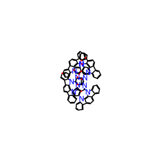 c1ccc(-n2c3ccccc3c3ccc4c5ccccc5n(-c5cc(-n6c7ccccc7c7ccc8c9ccccc9n(-c9ccccc9)c8c76)nc(-c6nc(-n7c8ccccc8c8ccc9c%10ccccc%10n(-c%10ccccc%10)c9c87)cc(-n7c8ccccc8c8ccc9c%10ccccc%10n(-c%10ccccc%10)c9c87)n6)n5)c4c32)cc1